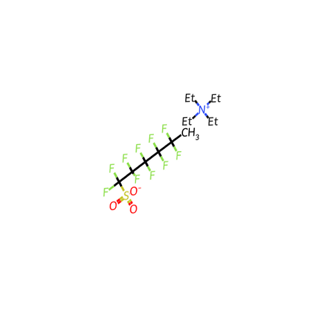 CC(F)(F)C(F)(F)C(F)(F)C(F)(F)C(F)(F)S(=O)(=O)[O-].CC[N+](CC)(CC)CC